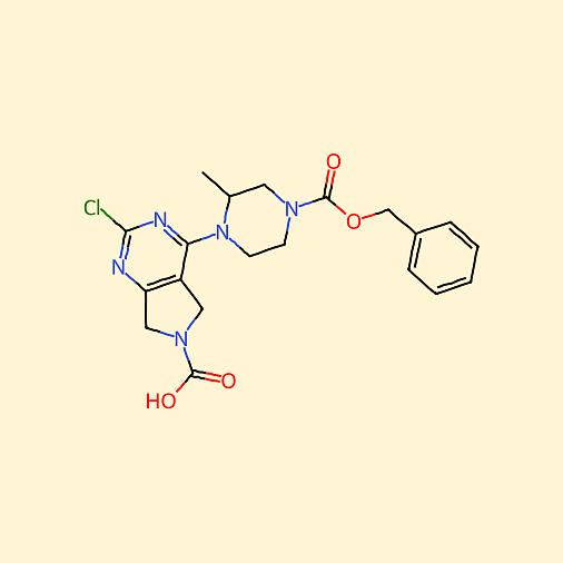 CC1CN(C(=O)OCc2ccccc2)CCN1c1nc(Cl)nc2c1CN(C(=O)O)C2